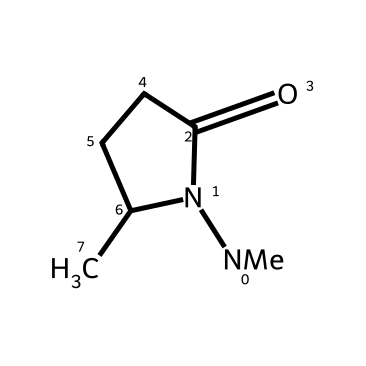 CNN1C(=O)CCC1C